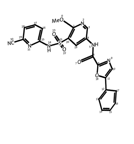 COc1ncc(NC(=O)c2ncc(-c3ccccc3)o2)cc1S(=O)(=O)Nc1cccc(C#N)n1